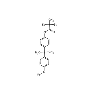 CCC(C)(CC)C(=O)Oc1ccc(C(C)(C)c2ccc(OC(C)C)cc2)cc1